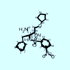 N[C@@](Cc1ccccc1)(NS(=O)(=O)c1cccc([N+](=O)[O-])c1)[C@@H](O)COC1CCCC1